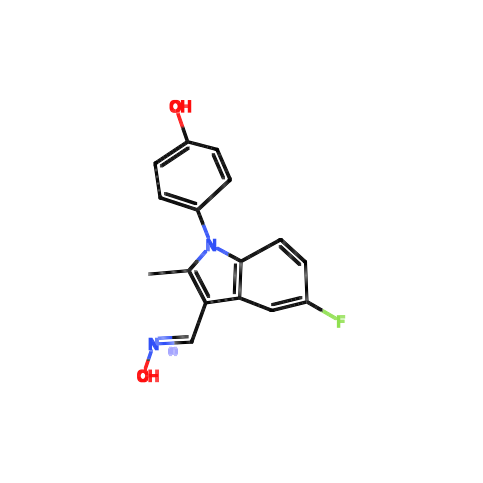 Cc1c(/C=N/O)c2cc(F)ccc2n1-c1ccc(O)cc1